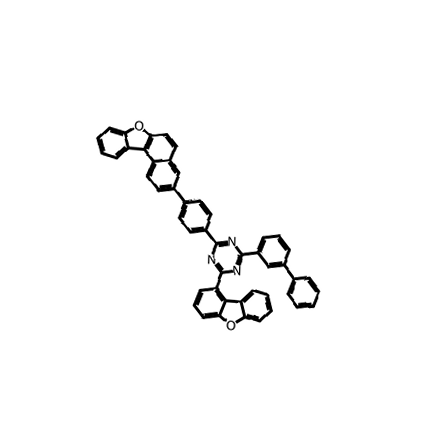 c1ccc(-c2cccc(-c3nc(-c4ccc(-c5ccc6c(ccc7oc8ccccc8c76)c5)cc4)nc(-c4cccc5oc6ccccc6c45)n3)c2)cc1